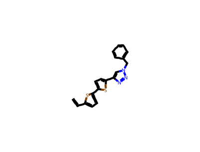 C=Cc1ccc(-c2ccc(-c3cn(Cc4ccccc4)nn3)s2)s1